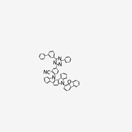 N#Cc1cc(-c2nc(-c3ccccc3)nc(-c3cccc(-c4ccccc4)c3)n2)ccc1-n1c2ccccc2c2ccc3c(c4ccccc4n3-c3cccc4c3oc3ccccc34)c21